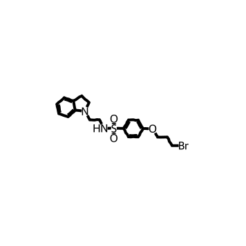 O=S(=O)(NCCN1CCc2ccccc21)c1ccc(OCCCBr)cc1